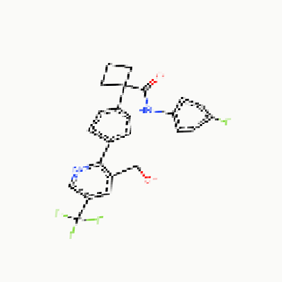 O=C(Nc1ccc(F)cc1)C1(c2ccc(-c3ncc(C(F)(F)F)cc3CO)cc2)CCC1